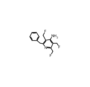 Nc1c(CF)c(CF)nc(Cc2ccccc2)c1CF